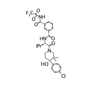 CC(C)[C@@H](NC(=O)c1cccc(C(=O)NS(=O)(=O)C(F)(F)F)c1)C(=O)N1CC[C@](O)(c2ccc(Cl)cc2)C(C)(C)C1